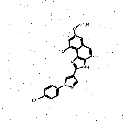 CC(C)(C)c1ccc(-n2cc(-c3nc4c(ccc5cc(OC(=O)O)cc(O)c54)[nH]3)cn2)cc1